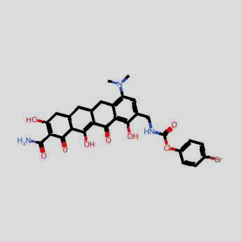 CN(C)c1cc(CNC(=O)Oc2ccc(Br)cc2)c(O)c2c1CC1CC3CC(O)=C(C(N)=O)C(=O)C3C(O)=C1C2=O